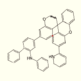 C1=CCNC(c2ccc3c(c2)Oc2ccccc2C32c3ccccc3Oc3cc(-c4ccc(-c5ccccc5)c(Nc5ccccc5)c4)ccc32)=C1